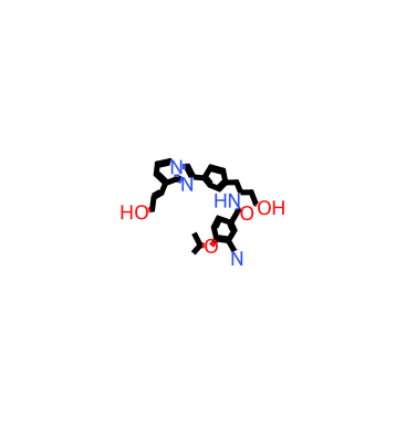 CC(C)Oc1ccc(C(=O)NC(CCO)Cc2ccc(-c3cn4cccc(C=CCO)c4n3)cc2)cc1C#N